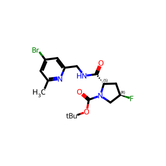 Cc1cc(Br)cc(CNC(=O)[C@@H]2C[C@@H](F)CN2C(=O)OC(C)(C)C)n1